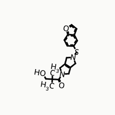 CC(C)(CO)C(=O)N1CC2=C(CN(Sc3ccc4occc4c3)C2)C1